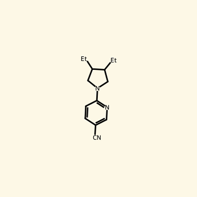 CCC1CN(c2ccc(C#N)cn2)CC1CC